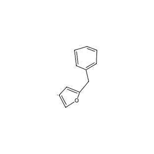 [c]1coc(Cc2ccccc2)c1